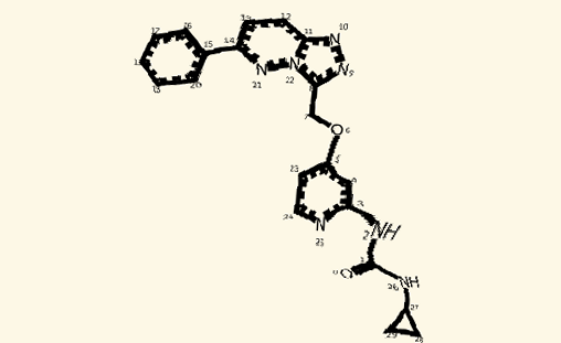 O=C(Nc1cc(OCc2nnc3ccc(-c4ccccc4)nn23)ccn1)NC1CC1